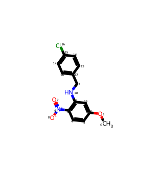 COc1ccc([N+](=O)[O-])c(NCc2ccc(Cl)cc2)c1